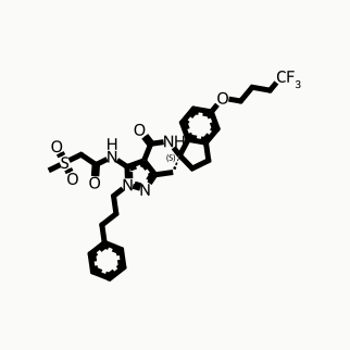 CS(=O)(=O)CC(=O)Nc1c2c(nn1CCCc1ccccc1)C[C@]1(CCc3cc(OCCCC(F)(F)F)ccc31)NC2=O